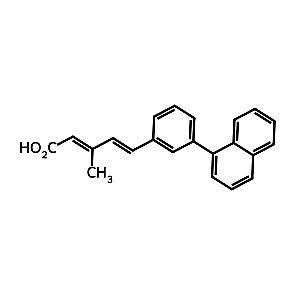 CC(/C=C/c1cccc(-c2cccc3ccccc23)c1)=C\C(=O)O